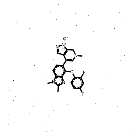 Cc1nc2c(Oc3ccc(F)cc3F)c(C3=CN(C)CC4=C3C=N[NH+]4[O-])ccc2n1C